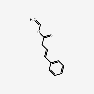 C=COC(=O)CC=Cc1ccccc1